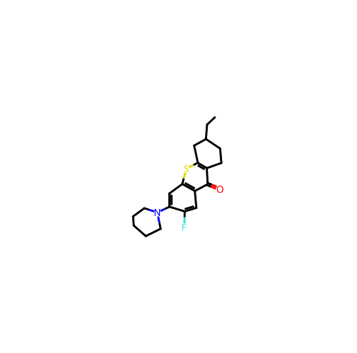 CCC1CCc2c(sc3cc(N4CCCCC4)c(F)cc3c2=O)C1